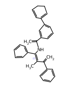 C=C(N/C(=C(/C)C(=C)c1ccccc1)c1ccccc1)c1cccc(C2=CCCC=C2)c1